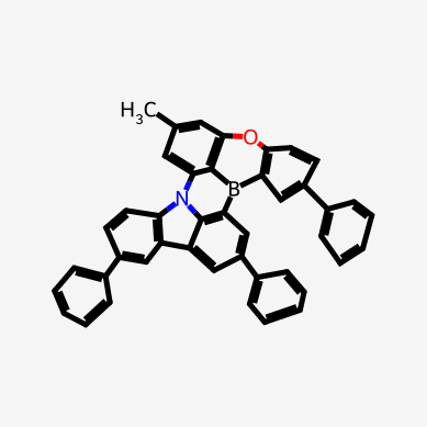 Cc1cc2c3c(c1)-n1c4ccc(-c5ccccc5)cc4c4cc(-c5ccccc5)cc(c41)B3c1cc(-c3ccccc3)ccc1O2